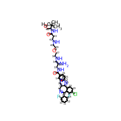 C=N/C=C1/CN=C(c2c(F)cccc2F)c2cc(Cl)ccc2/C1=N/c1ccc(C(=O)NC/C(N)=C/NCCOCCNCCC(=O)NC(C=O)C(C)(C)C)cc1